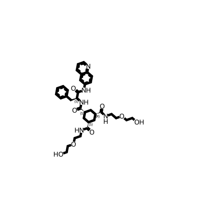 O=C(NCCOCCO)[C@@H]1C[C@H](C(=O)NCCOCCO)C[C@H](C(=O)N[C@@H](Cc2ccccc2)C(=O)Nc2ccc3ncccc3c2)C1